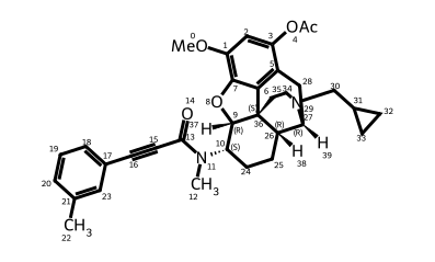 COc1cc(OC(C)=O)c2c3c1O[C@H]1[C@@H](N(C)C(=O)C#Cc4cccc(C)c4)CC[C@H]4[C@@H](C2)N(CC2CC2)CC[C@@]341